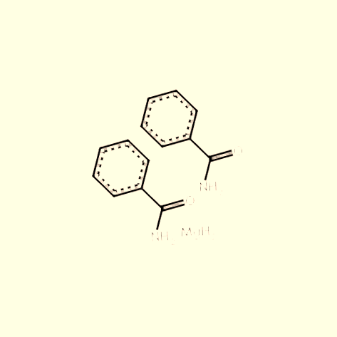 NC(=O)c1ccccc1.NC(=O)c1ccccc1.[MgH2]